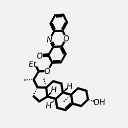 CCC(Oc1ccc2oc3ccccc3nc-2c1=O)[C@@H](C)[C@H]1CC[C@H]2[C@@H]3CC=C4C[C@@H](O)CC[C@]4(C)[C@H]3CC[C@]12C